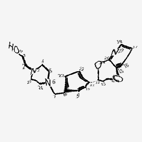 OCCN1CCN(Cc2ccc([C@H]3COc4cccnc4O3)cc2)CC1